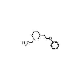 [CH2]CN1CCC[C@@H](CCOc2ccccc2)C1